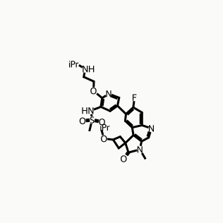 CC(C)NCCOc1ncc(-c2cc3c4c(cnc3cc2F)N(C)C(=O)C42CC(OC(C)C)C2)cc1NS(C)(=O)=O